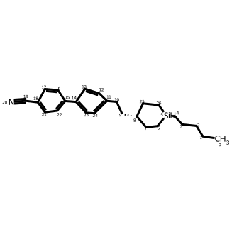 CCCCC[Si@H]1CC[C@H](CCc2ccc(-c3ccc(C#N)cc3)cc2)CC1